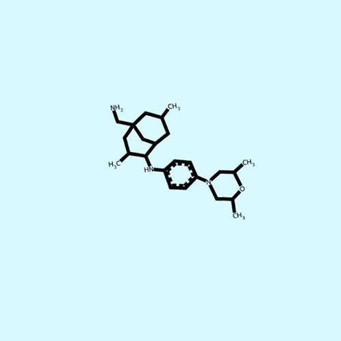 CC1CC2CC(CN)(C1)CC(C)C2Nc1ccc(N2CC(C)OC(C)C2)cc1